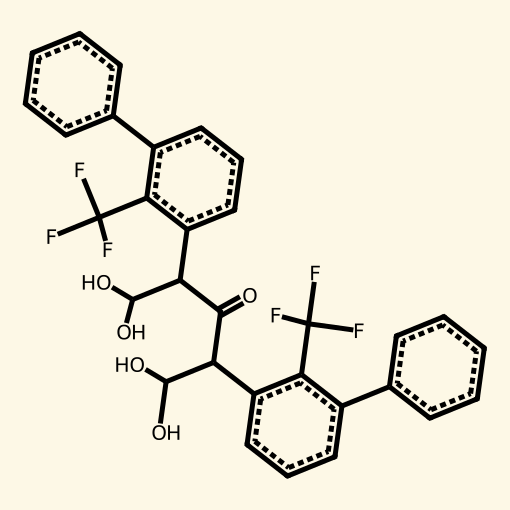 O=C(C(c1cccc(-c2ccccc2)c1C(F)(F)F)C(O)O)C(c1cccc(-c2ccccc2)c1C(F)(F)F)C(O)O